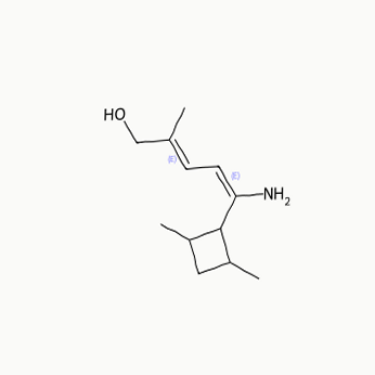 C/C(=C\C=C(\N)C1C(C)CC1C)CO